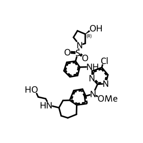 CON(c1ccc2c(c1)CCCC(NCCO)C2)c1ncc(Cl)c(Nc2ccccc2S(=O)(=O)N2CC[C@@H](O)C2)n1